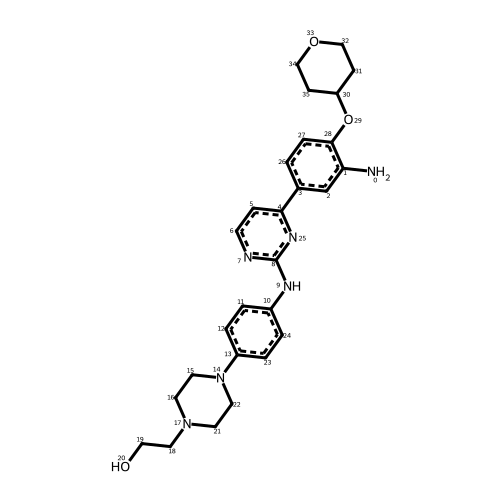 Nc1cc(-c2ccnc(Nc3ccc(N4CCN(CCO)CC4)cc3)n2)ccc1OC1CCOCC1